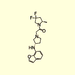 C[C@@H]1CC(F)(F)CN1C(=O)CN1CC[C@H](Nc2cccc3ccoc23)C1